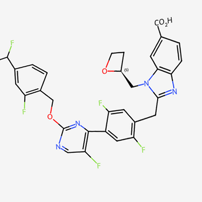 O=C(O)c1ccc2nc(Cc3cc(F)c(-c4nc(OCc5ccc(C(F)F)cc5F)ncc4F)cc3F)n(C[C@@H]3CCO3)c2c1